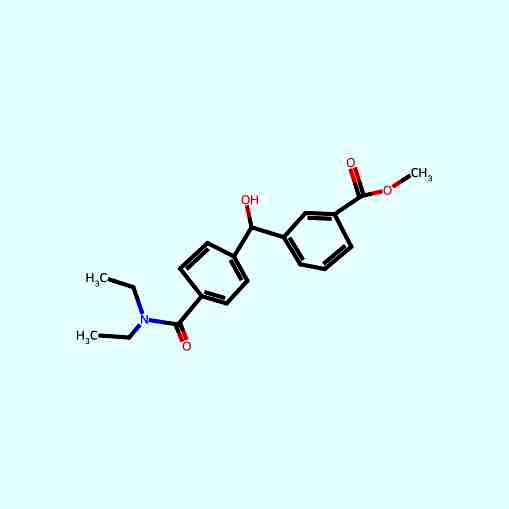 CCN(CC)C(=O)c1ccc(C(O)c2cccc(C(=O)OC)c2)cc1